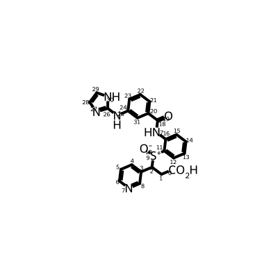 O=C(O)CC(c1cccnc1)[S+]([O-])c1ccccc1NC(=O)c1cccc(Nc2ncc[nH]2)c1